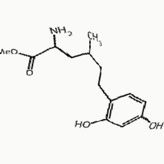 COC(=O)C(N)CC(C)CCc1ccc(O)cc1O